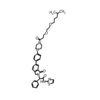 CC(C)CCCOCCOCCC(=O)N1CCN(c2ccc(-c3ccc4c(c3)C(=O)N(C(C(=O)Nc3nccs3)c3ccccc3)C4)cc2)CC1